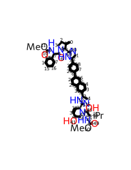 C=C1CCN(C(=O)[C@H](NC(=O)OC)c2ccccc2)[C@@H]1C1=NCC(c2ccc(-c3ccc4cc(C5CN=C([C@@H]6C#C[C@H](O)CN6C(O)[C@@H](NC(=O)OC)C(C)C)N5)ccc4c3)cc2)N1